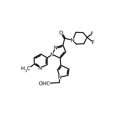 Cc1ccc(-n2nc(C(=O)N3CCC(F)(F)CC3)cc2-c2ccn(CC=O)c2)cn1